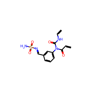 C=CNC(=O)N(C(=O)C=C)c1cccc(/C=N/S(N)(=O)=O)c1